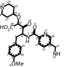 COc1ccc(CC(NC(=O)c2ccc(CN)cn2)C(=O)C(OC2CCNCC2)C(=O)O)cc1